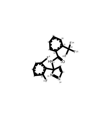 O=C(NC1(c2c(F)cccc2F)C=CN=N1)c1ccccc1C(F)(F)F